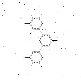 O=[N+]([O-])c1cc(-c2cc(-c3cc([N+](=O)[O-])c(O)c(C(F)(F)F)c3)cc(C(F)(F)F)c2)cc(C(F)(F)F)c1O